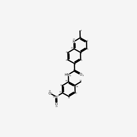 Cc1ccc2cc(C(=O)Nc3cc([N+](=O)[O-])ccc3C)ccc2n1